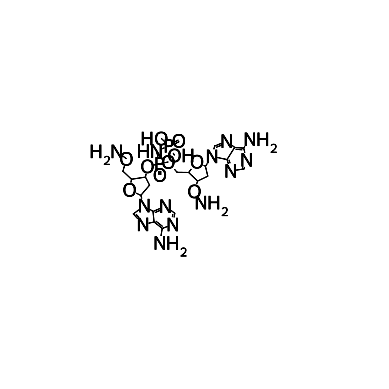 NOCC1OC(n2cnc3c(N)ncnc32)CC1OP(=O)(NP(=O)(O)O)OCC1OC(n2cnc3c(N)ncnc32)CC1ON